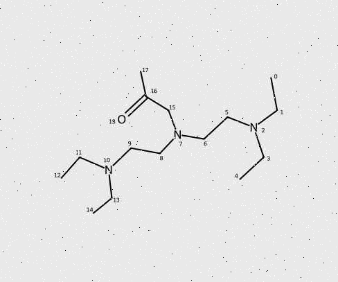 CCN(CC)CCN(CCN(CC)CC)CC(C)=O